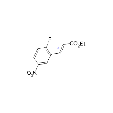 CCOC(=O)/C=C/c1cc([N+](=O)[O-])ccc1F